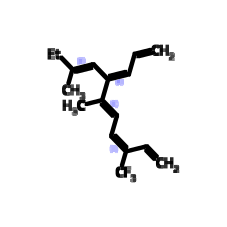 C=C/C=C(\C=C(/C)CC)C(/C)=C/C=C(\C=C)C(F)(F)F